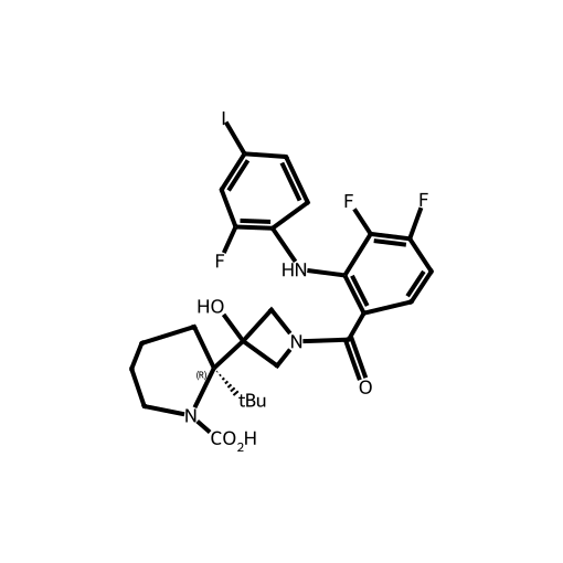 CC(C)(C)[C@@]1(C2(O)CN(C(=O)c3ccc(F)c(F)c3Nc3ccc(I)cc3F)C2)CCCCN1C(=O)O